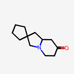 O=C1CCN2CC3(CCCC3)CC2C1